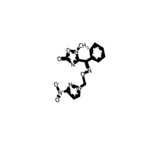 Cn1oc(=O)nc1C(=NOCn1ccc([N+](=O)[O-])n1)c1ccccc1